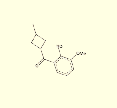 COc1cccc(C(=O)C2CC(C)C2)c1N=O